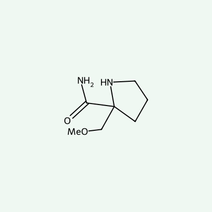 COCC1(C(N)=O)CCCN1